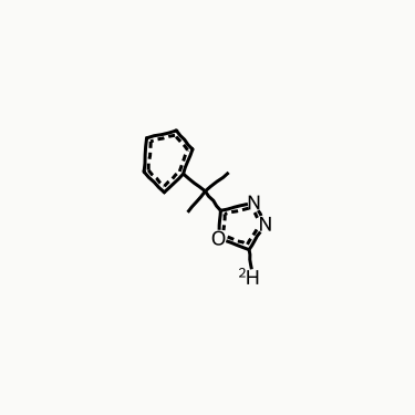 [2H]c1nnc(C(C)(C)c2ccccc2)o1